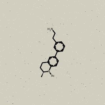 CC(=O)N1c2ccc(-c3cccc(CCN)c3)cc2CC[C@@H]1C